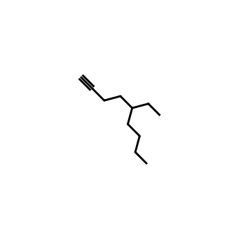 C#CCCC(CC)CCCC